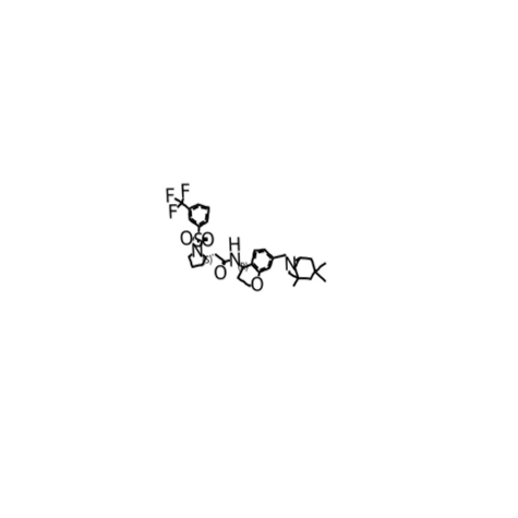 CC1(C)CC2CC(C)(CN2Cc2ccc3c(c2)OCC[C@H]3NC(=O)C[C@@H]2CCCN2S(=O)(=O)c2cccc(C(F)(F)F)c2)C1